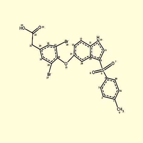 Cc1ccc(S(=O)(=O)c2c[nH]c3ccc(Oc4c(Br)cc(CC(=O)O)cc4Br)cc23)cc1